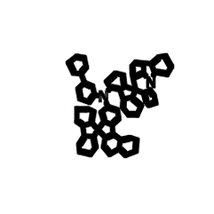 c1ccc(-c2cccc(N(c3ccc4c(c3)C3(c5ccccc5-c5ccccc53)c3ccc5ccccc5c3-4)c3cccc4c3-c3ccccc3C43c4ccccc4-n4c5ccccc5c5cccc3c54)c2)cc1